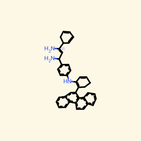 N/C(=C\C(N)c1ccc(NC2=C(c3cc4ccccc4c4ccc5ccccc5c34)CCC=C2)cc1)C1C=CC=CC1